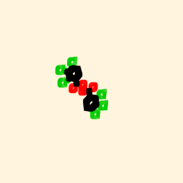 O=C(OOC(=O)c1ccc(Cl)c(Cl)c1Cl)c1ccc(Cl)c(Cl)c1Cl